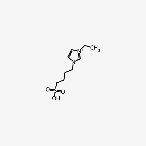 CC[n+]1ccn(CCCCS(=O)(=O)O)c1